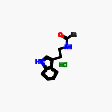 CCC(=O)NCCc1c[nH]c2ccccc12.Cl